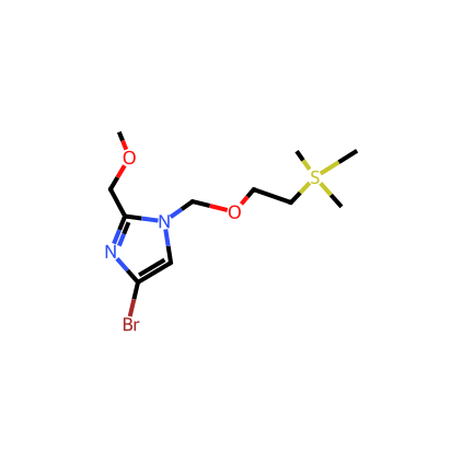 COCc1nc(Br)cn1COCCS(C)(C)C